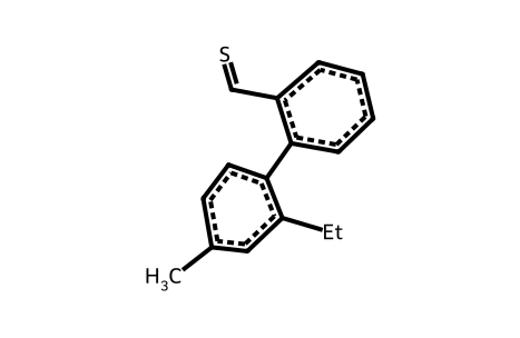 CCc1cc(C)ccc1-c1ccccc1C=S